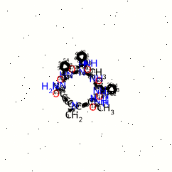 C=CCN1CC#CCN(NC(C)=O)C(=O)N[C@H](Cc2c[nH]c3ccccc23)C(=O)N[C@@H](C)C(=O)N[C@@H](Cc2c[nH]c3ccccc23)C(=O)N[C@H](Cc2ccccc2)C(=O)N[C@H](C(N)=O)CCCC1